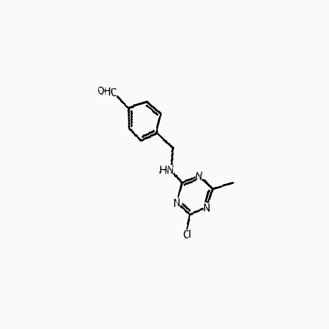 Cc1nc(Cl)nc(NCc2ccc(C=O)cc2)n1